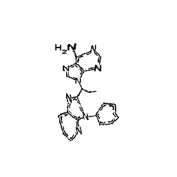 CC(c1nc2cccnc2n1-c1ccccc1)n1cnc2c(N)ncnc21